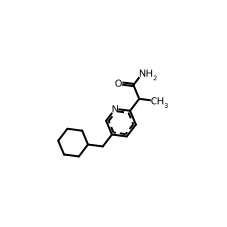 CC(C(N)=O)c1ccc(CC2CCCCC2)cn1